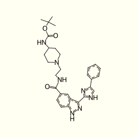 CC(C)(C)OC(=O)NC1CCN(CCNC(=O)c2ccc3[nH]nc(-c4nc(-c5ccccc5)c[nH]4)c3c2)CC1